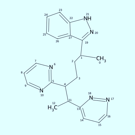 CC(CCC(c1ncccn1)C(C)c1cccnn1)c1n[nH]c2ccccc12